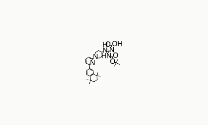 CC(C)(C)OC(=O)N/C(=N/C(=O)O)NC1CCN(c2cccc(-c3ccc4c(c3)C(C)(C)CCC4(C)C)n2)CC1